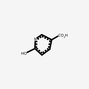 O=C(O)c1[c]cc(O)nc1